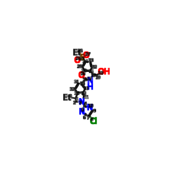 CCC1CN(c2ncc(Cl)cn2)Cc2cc(C(=O)NC(CO)c3ccc(S(=O)(=O)CC)cc3)ccc21